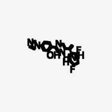 C=C(c1cnc(-c2ccc(-n3ccnc3)cc2O)cn1)[C@@H]1C[C@@H]2N[C@@H](C[C@@H]2F)[C@H]1F